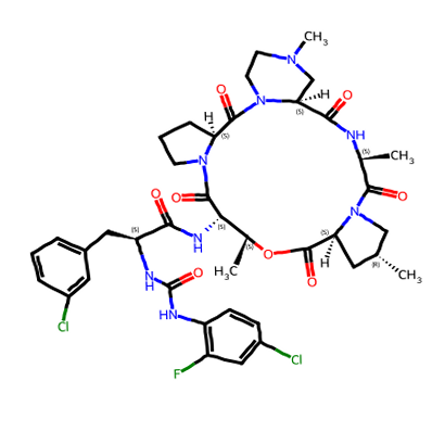 C[C@@H]1C[C@H]2C(=O)O[C@@H](C)[C@H](NC(=O)[C@H](Cc3cccc(Cl)c3)NC(=O)Nc3ccc(Cl)cc3F)C(=O)N3CCC[C@H]3C(=O)N3CCN(C)C[C@H]3C(=O)N[C@@H](C)C(=O)N2C1